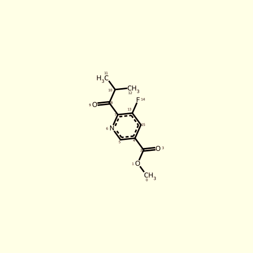 COC(=O)c1cnc(C(=O)C(C)C)c(F)c1